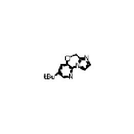 CC(C)(C)c1cnc2c(c1)OCc1nccn1-2